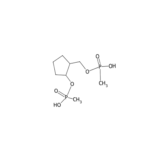 CP(=O)(O)OCC1CCCC1OP(C)(=O)O